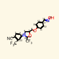 N#Cc1ccc(N2CC(COc3ccc(/C=N/O)cc3)OC2C(F)(F)F)cc1C(F)(F)F